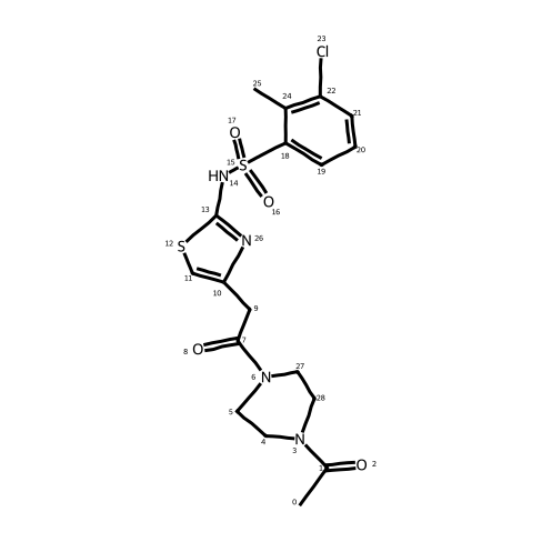 CC(=O)N1CCN(C(=O)Cc2csc(NS(=O)(=O)c3cccc(Cl)c3C)n2)CC1